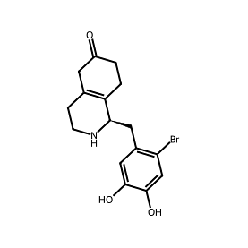 O=C1CCC2=C(CCN[C@@H]2Cc2cc(O)c(O)cc2Br)C1